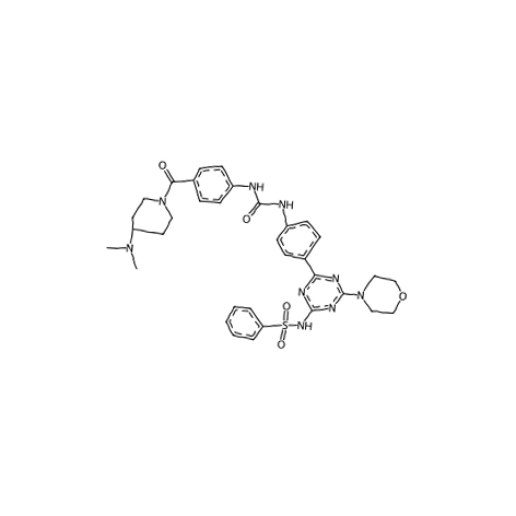 CN(C)C1CCN(C(=O)c2ccc(NC(=O)Nc3ccc(-c4nc(NS(=O)(=O)c5ccccc5)nc(N5CCOCC5)n4)cc3)cc2)CC1